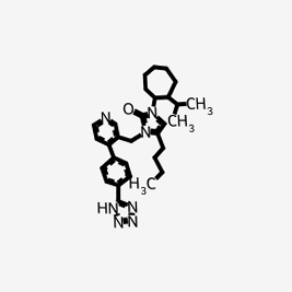 CCCCc1cn(C2CCCCCC2C(C)C)c(=O)n1Cc1cnccc1-c1ccc(-c2nnn[nH]2)cc1